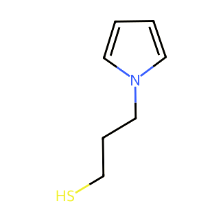 SCCCn1cccc1